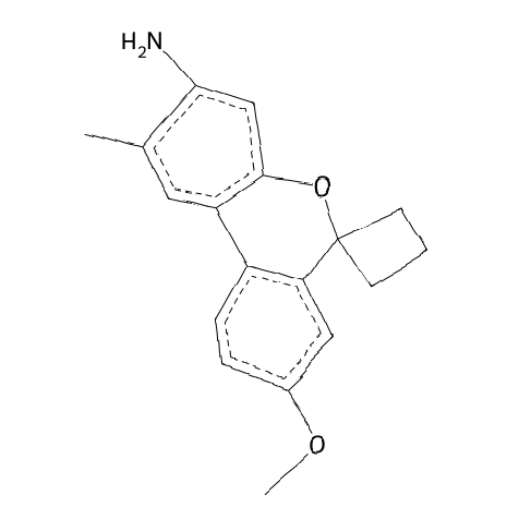 COc1ccc2c(c1)C1(CCC1)Oc1cc(N)c(C)cc1-2